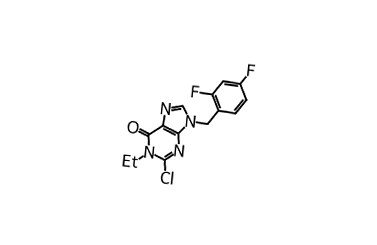 CCn1c(Cl)nc2c(ncn2Cc2ccc(F)cc2F)c1=O